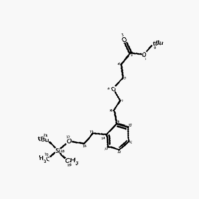 CC(C)(C)OC(=O)CCOCCc1ccccc1CCO[Si](C)(C)C(C)(C)C